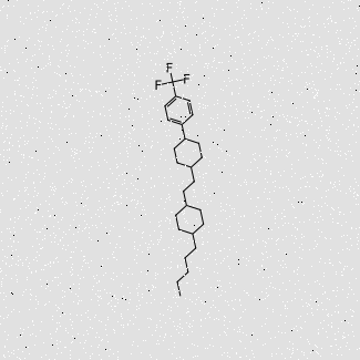 CCCCCC1CCC(CCC2CCC(c3ccc(C(F)(F)F)cc3)CC2)CC1